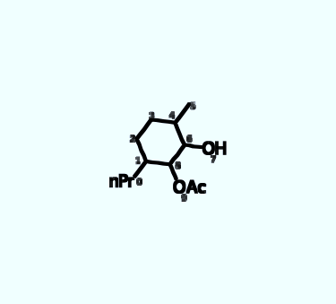 CCCC1CCC(C)C(O)C1OC(C)=O